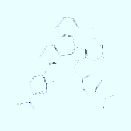 N#Cc1cccc(C#N)c1-c1c(-c2cccc(-c3ccc(C(=O)N=O)cc3Cl)c2)n(Sc2ccc(C(F)F)cc2)c2cnc(O)cc12